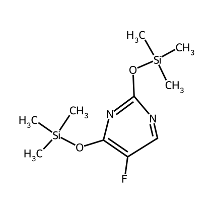 C[Si](C)(C)Oc1ncc(F)c(O[Si](C)(C)C)n1